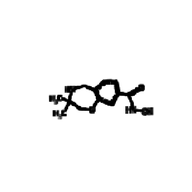 CC1(C)COc2cc(C(=O)NO)ccc2CN1